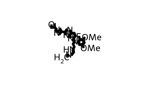 C=N/C=C\NCCN(c1ccc2ncc(-c3cnn(C4COC4)c3)nc2n1)c1cc(OC)cc(OC)c1F